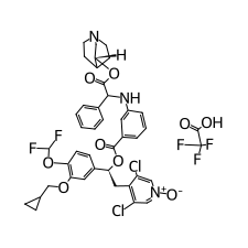 O=C(O)C(F)(F)F.O=C(O[C@@H](Cc1c(Cl)c[n+]([O-])cc1Cl)c1ccc(OC(F)F)c(OCC2CC2)c1)c1cccc(NC(C(=O)O[C@H]2CN3CCC2CC3)c2ccccc2)c1